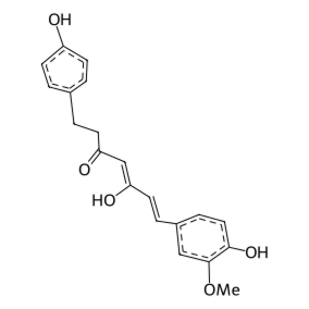 COc1cc(C=CC(O)=CC(=O)CCc2ccc(O)cc2)ccc1O